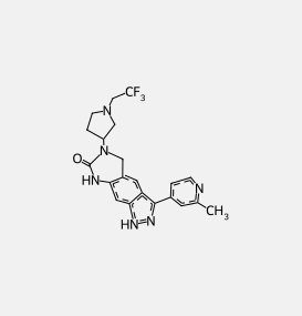 Cc1cc(-c2n[nH]c3cc4c(cc23)CN(C2CCN(CC(F)(F)F)C2)C(=O)N4)ccn1